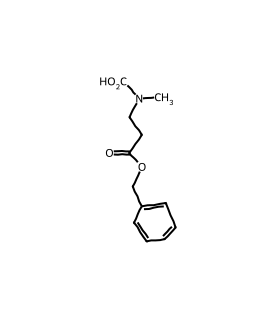 CN(CCC(=O)OCc1ccccc1)C(=O)O